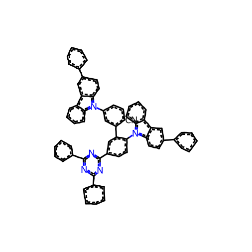 N#Cc1ccc(-n2c3ccccc3c3cc(-c4ccccc4)ccc32)cc1-c1cc(-c2nc(-c3ccccc3)nc(-c3ccccc3)n2)ccc1-n1c2ccccc2c2cc(-c3ccccc3)ccc21